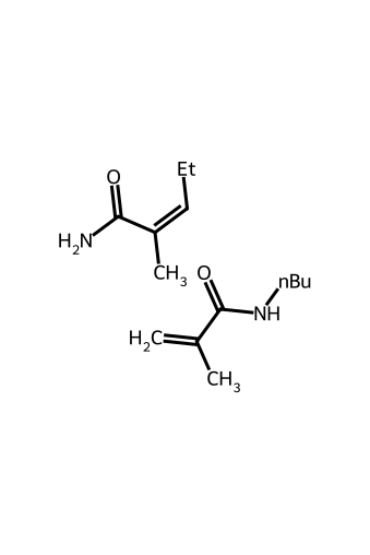 C=C(C)C(=O)NCCCC.CCC=C(C)C(N)=O